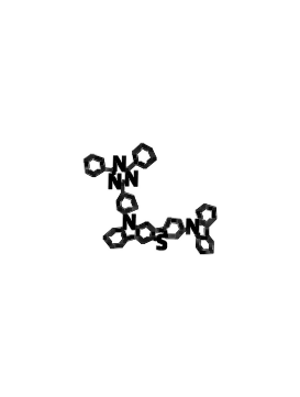 c1ccc(-c2nc(-c3ccccc3)nc(-c3ccc(-n4c5ccccc5c5cc6sc7cc(-n8c9ccccc9c9ccccc98)ccc7c6cc54)cc3)n2)cc1